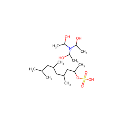 CC(C)CC(C)CC(C)CC(C)OS(=O)(=O)O.CC(O)N(C(C)O)C(C)O